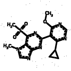 COc1ncnc(C2CC2)c1-c1nc(S(C)(=O)=O)c2c(ncn2C)n1